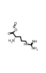 N=C(N)NCCC[C@H](N)C(=O)ON=O